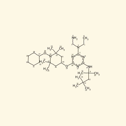 CCN(CN)c1nc(NC(C)(C)CC(C)(C)C)nc(OC2CC(C)(C)N(OC3CCCCC3)C(C)(C)C2)n1